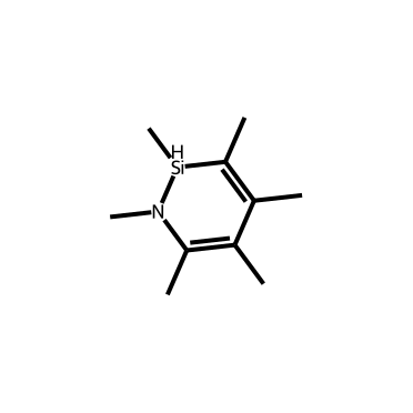 CC1=C(C)N(C)[SiH](C)C(C)=C1C